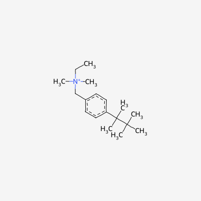 CC[N+](C)(C)Cc1ccc(C(C)(C)C(C)(C)C)cc1